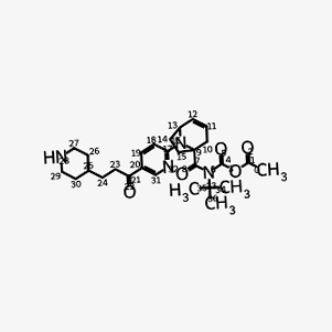 CC(=O)OC(=O)N(C(=O)C12CC=CC(CC1)N2c1ccc(C(=O)CCC2CCNCC2)cn1)C(C)(C)C